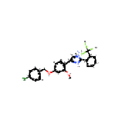 COc1cc(OCc2ccc(Cl)cc2)ccc1-c1c[nH]c(-c2ccccc2C(F)(F)F)n1